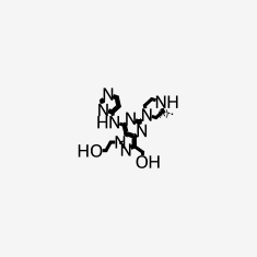 C[C@@H]1CN(c2nc(Nc3ccncn3)c3c(n2)c(CO)nn3CCO)CCN1